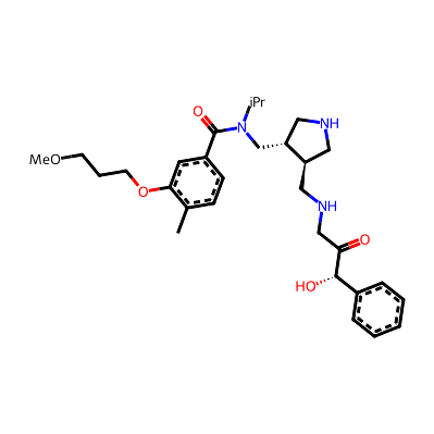 COCCCOc1cc(C(=O)N(C[C@@H]2CNC[C@H]2CNCC(=O)[C@@H](O)c2ccccc2)C(C)C)ccc1C